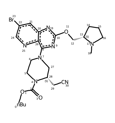 CCCCOC(=O)N1CCN(c2nc(OC[C@@H]3CCCN3C)nc3cc(Br)cnc23)C[C@@H]1CC#N